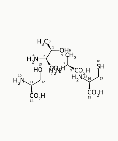 C[C@@H](O)[C@H](N)C(=O)O.C[C@H](N)C(=O)O.N[C@@H](CO)C(=O)O.N[C@@H](CS)C(=O)O